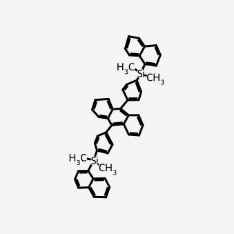 C[Si](C)(c1ccc(-c2c3ccccc3c(-c3ccc([Si](C)(C)c4cccc5ccccc45)cc3)c3ccccc23)cc1)c1cccc2ccccc12